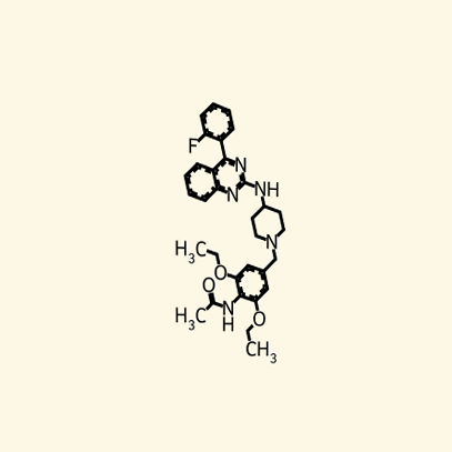 CCOc1cc(CN2CCC(Nc3nc(-c4ccccc4F)c4ccccc4n3)CC2)cc(OCC)c1NC(C)=O